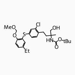 CCc1ccc(OCOC)c(Sc2ccc(CCC(C)(CO)NC(=O)OC(C)(C)C)c(Cl)c2)c1